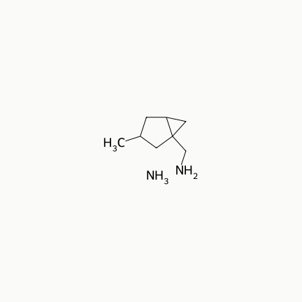 CC1CC2CC2(CN)C1.N